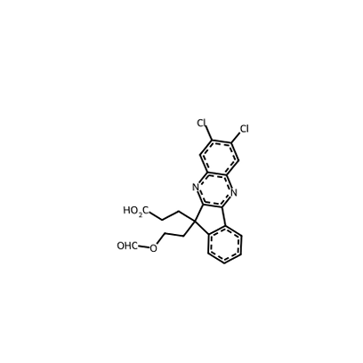 O=COCCC1(CCC(=O)O)c2ccccc2-c2nc3cc(Cl)c(Cl)cc3nc21